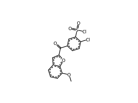 COc1cccc2cc(C(=O)c3ccc(Cl)c(S(=O)(=O)Cl)c3)oc12